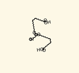 O=C(O)CCCCCCC/C=C\C/C=C\CCCCCCCCCOc1cc(CCCN2CCCCC2)cc(OCCCCCCCCC/C=C\C/C=C\CCCCCCCC(=O)O)c1